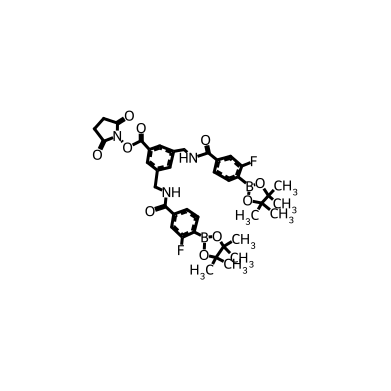 CC1(C)OB(c2ccc(C(=O)NCc3cc(CNC(=O)c4ccc(B5OC(C)(C)C(C)(C)O5)c(F)c4)cc(C(=O)ON4C(=O)CCC4=O)c3)cc2F)OC1(C)C